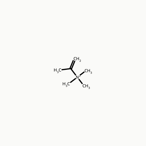 C=C(C)[N+](C)(C)C